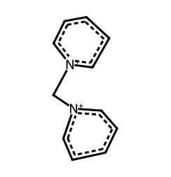 c1cc[n+](C[n+]2ccccc2)cc1